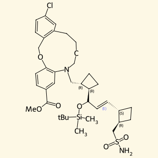 COC(=O)c1ccc2c(c1)N(C[C@@H]1CC[C@H]1C(/C=C/[C@@H]1CC[C@H]1CS(N)(=O)=O)O[Si](C)(C)C(C)(C)C)CCCCc1cc(Cl)ccc1CO2